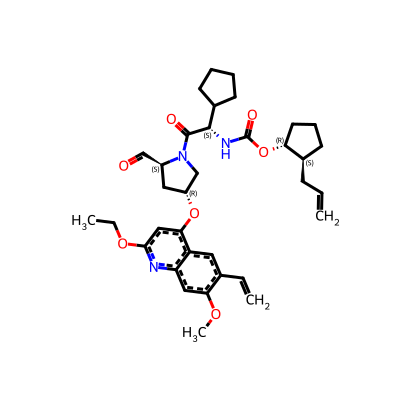 C=CC[C@@H]1CCC[C@H]1OC(=O)N[C@H](C(=O)N1C[C@H](Oc2cc(OCC)nc3cc(OC)c(C=C)cc23)C[C@H]1C=O)C1CCCC1